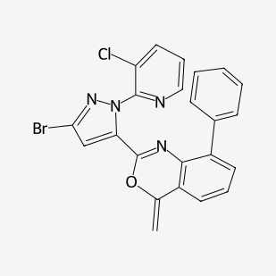 C=C1OC(c2cc(Br)nn2-c2ncccc2Cl)=Nc2c1cccc2-c1ccccc1